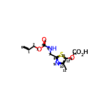 C=CCOC(=O)NCc1nc(C)c(OC(=O)O)s1